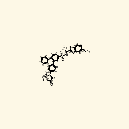 C[C@H](NS(=O)(=O)c1ccc(-c2ccccc2)c(-c2ccc(N3CC(=O)NS3(=O)=O)cc2)c1)c1nc2cc(C(F)(F)F)ccc2[nH]1